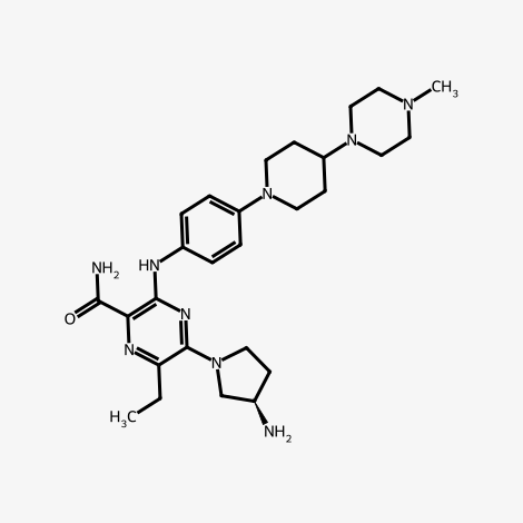 CCc1nc(C(N)=O)c(Nc2ccc(N3CCC(N4CCN(C)CC4)CC3)cc2)nc1N1CC[C@@H](N)C1